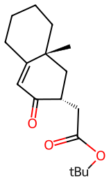 CC(C)(C)OC(=O)C[C@H]1C[C@@]2(C)CCCCC2=CC1=O